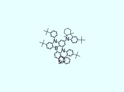 CC(C)(C)c1cccc(N2c3cc(C(C)(C)C)ccc3B3c4ccc5sc6ccccc6c5c4N(c4ccc(C(C)(C)C)cc4-c4ccccc4)c4cc(N5c6ccc(C(C)(C)C)cc6C6(C)CCCCC56C)cc2c43)c1